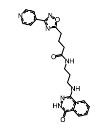 O=C(CCCc1nc(-c2ccncc2)no1)NCCCNc1n[nH]c(=O)c2ccccc12